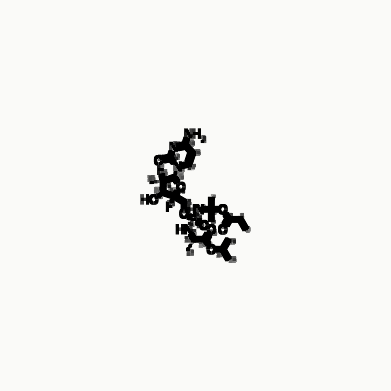 CCC(=O)OC(C)(C)NP(=O)(N[C@@H](C)C(=O)OC(C)C)OC[C@@]1(F)O[C@@H](n2ccc(N)nc2=O)[C@](C)(F)[C@@H]1O